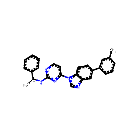 Cc1cccc(-c2ccc3c(c2)ncn3-c2ccnc(N[C@@H](C)c3ccccc3)n2)c1